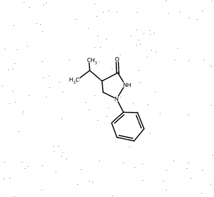 CC(C)C1CN(c2ccccc2)NC1=O